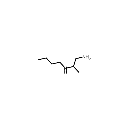 CCCCNC(C)CN